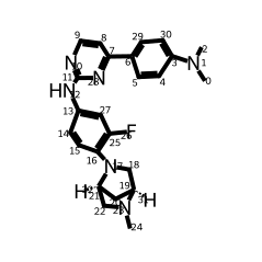 CN(C)c1ccc(-c2ccnc(Nc3ccc(N4C[C@@H]5C[C@H]4CN5C)c(F)c3)n2)cc1